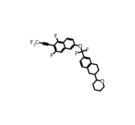 Fc1cc2cc(OC(F)(F)c3ccc4c(c3)CCC(C3CCCCO3)C4)ccc2c(F)c1C#CC(F)(F)F